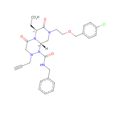 C#CCN1CC(=O)N2[C@@H](CC(=O)O)C(=O)N(CCOCc3ccc(Cl)cc3)C[C@@H]2N1C(=O)NCc1ccccc1